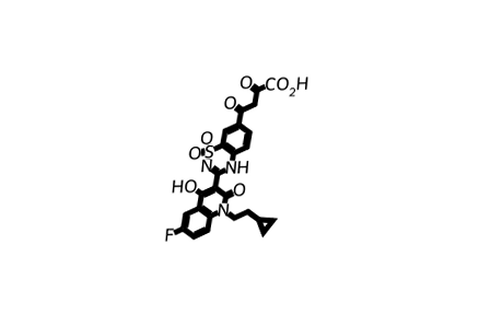 O=C(O)C(=O)CC(=O)c1ccc2c(c1)S(=O)(=O)N=C(c1c(O)c3cc(F)ccc3n(CCC3CC3)c1=O)N2